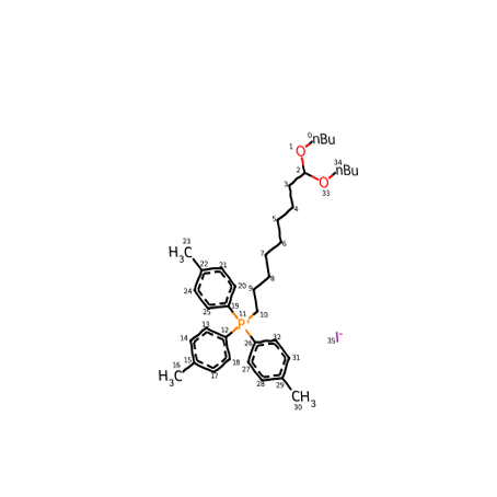 CCCCOC(CCCCCCCC[P+](c1ccc(C)cc1)(c1ccc(C)cc1)c1ccc(C)cc1)OCCCC.[I-]